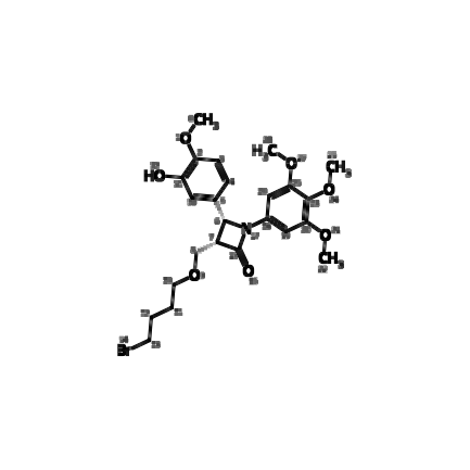 COc1ccc([C@H]2[C@@H](COCCCCBr)C(=O)N2c2cc(OC)c(OC)c(OC)c2)cc1O